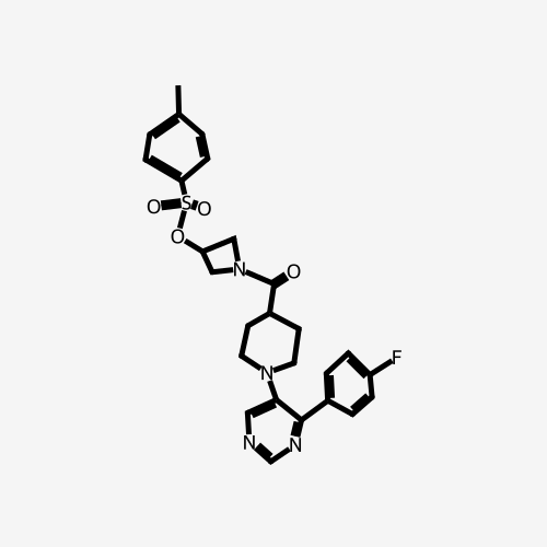 Cc1ccc(S(=O)(=O)OC2CN(C(=O)C3CCN(c4cncnc4-c4ccc(F)cc4)CC3)C2)cc1